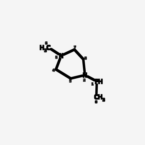 CPN1CCN(C)CC1